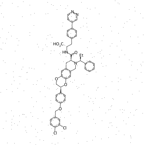 CC[C@@H](c1ccccc1)N1Cc2cc3c(cc2C[C@H]1C(=O)N[C@@H](Cc1ccc(-c2ccnnc2)cc1)C(=O)O)OC[C@H](c1ccc(OCc2ccc(Cl)c(Cl)c2)cc1)O3